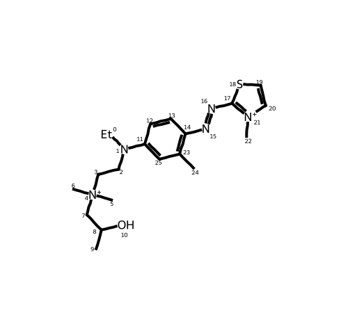 CCN(CC[N+](C)(C)CC(C)O)c1ccc(/N=N/c2scc[n+]2C)c(C)c1